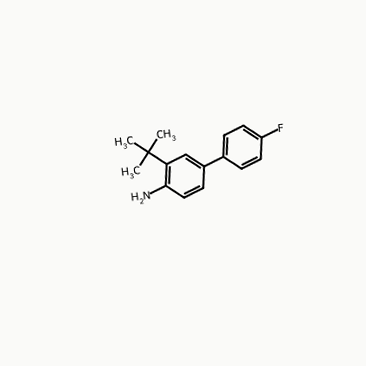 CC(C)(C)c1cc(-c2ccc(F)cc2)ccc1N